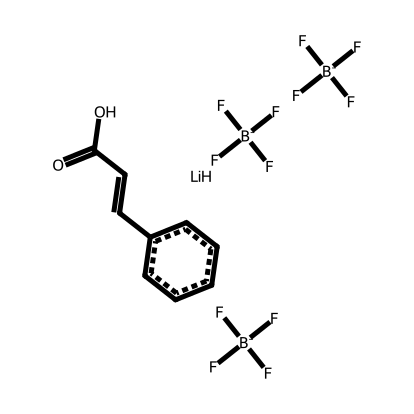 F[B-](F)(F)F.F[B-](F)(F)F.F[B-](F)(F)F.O=C(O)C=Cc1ccccc1.[LiH]